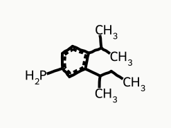 CCC(C)c1cc(P)ccc1C(C)C